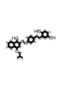 CC(C)COc1cc(N=Nc2ccc(CCc3cc(O)ccc3O)cc2)c(O)c2ccccc12